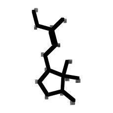 CCC(C)=CCC1CCC(C)C1(C)C